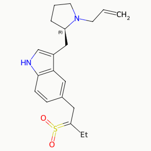 C=CCN1CCC[C@@H]1Cc1c[nH]c2ccc(CC(CC)=S(=O)=O)cc12